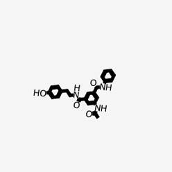 CC(=O)Nc1cc(C(=O)NCCc2ccc(O)cc2)cc(C(=O)Nc2ccccc2)c1